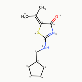 CC(C)=C1SC(NCC2CCCC2)=NC1=O